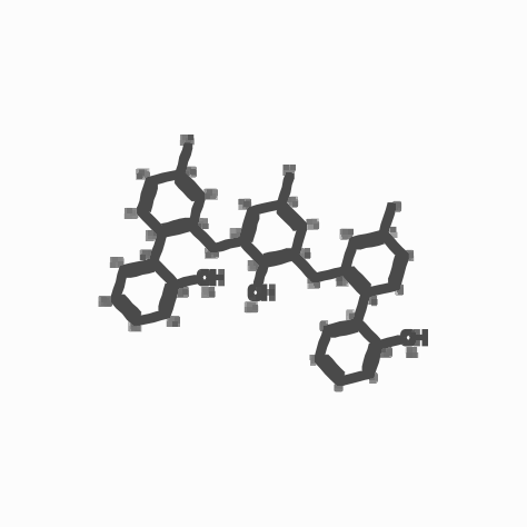 Cc1ccc(-c2ccccc2O)c(Cc2cc(C)cc(Cc3cc(C)ccc3-c3ccccc3O)c2O)c1